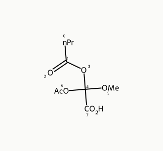 CCCC(=O)OC(OC)(OC(C)=O)C(=O)O